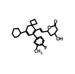 Cc1cc(C2=C(C=CC3CC(O)CC(=O)O3)C3(CCC3)CC(C3CCCCC3)=C2)ccc1F